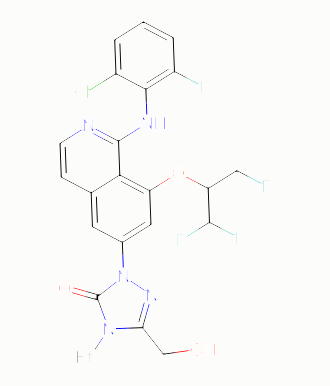 CCn1c(CO)nn(-c2cc(OC(CF)C(F)F)c3c(Nc4c(F)cccc4Cl)nccc3c2)c1=O